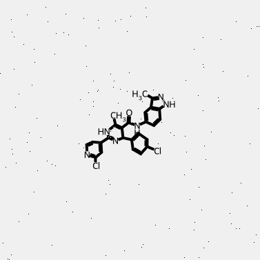 CC1=C(C(=O)Nc2ccc3[nH]nc(C)c3c2)C(c2ccc(Cl)cc2)N=C(c2ccnc(Cl)c2)N1